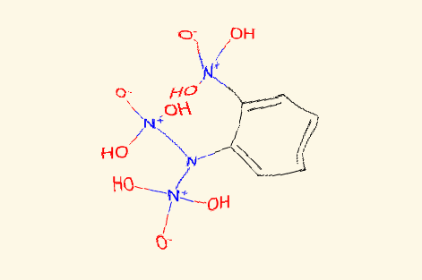 [O-][N+](O)(O)c1ccccc1N([N+]([O-])(O)O)[N+]([O-])(O)O